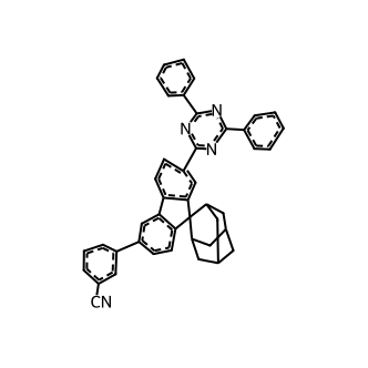 N#Cc1cccc(-c2ccc3c(c2)-c2ccc(-c4nc(-c5ccccc5)nc(-c5ccccc5)n4)cc2C32C3CC4CC(C3)CC2C4)c1